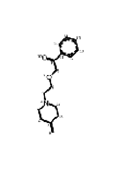 C=C1CCN(CCOCC(=O)c2ccccc2)CC1